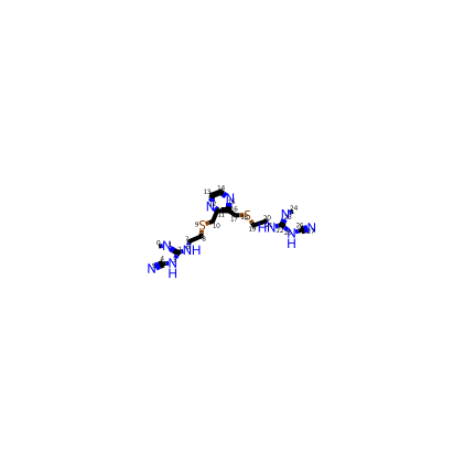 CN=C(NC#N)NCCSCc1nccnc1CSCCNC(=NC)NC#N